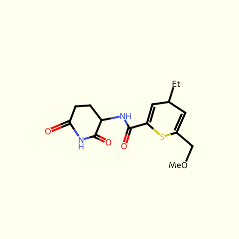 CCC1C=C(COC)SC(C(=O)NC2CCC(=O)NC2=O)=C1